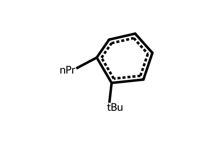 [CH2]CCc1ccccc1C(C)(C)C